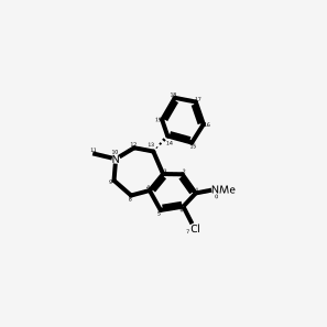 CNc1cc2c(cc1Cl)CCN(C)C[C@@H]2c1ccccc1